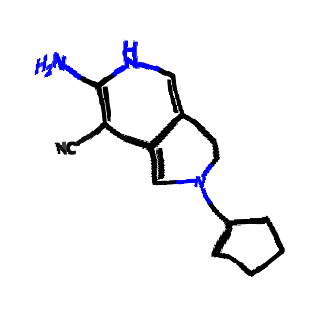 N#CC1=C(N)NC=C2CN(C3CCCC3)C=C21